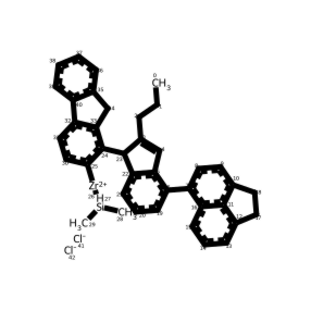 CCCC1=Cc2c(-c3ccc4c5c(cccc35)CC4)cccc2C1c1[c]([Zr+2][SiH](C)C)ccc2c1Cc1ccccc1-2.[Cl-].[Cl-]